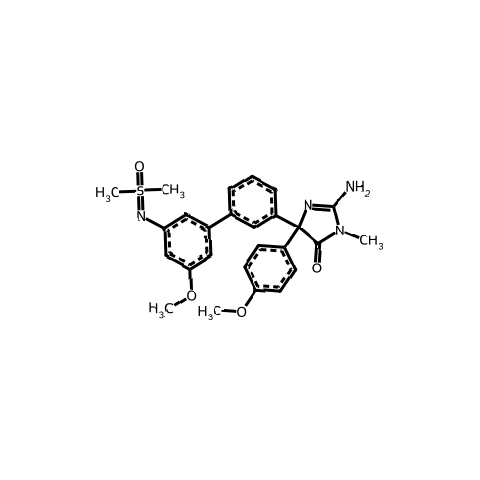 COc1ccc(C2(c3cccc(-c4cc(N=S(C)(C)=O)cc(OC)c4)c3)N=C(N)N(C)C2=O)cc1